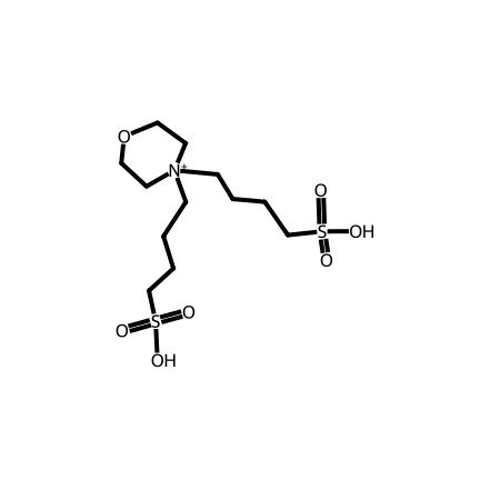 O=S(=O)(O)CCCC[N+]1(CCCCS(=O)(=O)O)CCOCC1